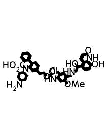 COc1cc(NC(=O)OCCc2ccc(-c3ccccc3)c(N(C(=O)O)C3CCC(N)CC3)c2)c(Cl)cc1CNC[C@@H](O)c1ccc(O)c2[nH]c(=O)ccc12